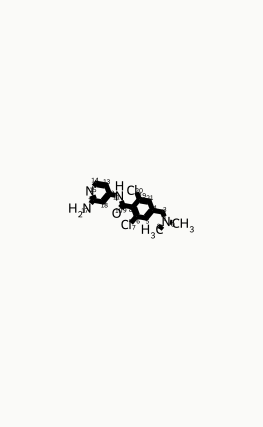 CN(C)Cc1cc(Cl)c(C(=O)Nc2ccnc(N)c2)c(Cl)c1